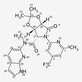 Cc1cc(C(F)(F)F)cc(N2C(=O)[C@H]3OC(C)(C)O[C@H]3[C@H]2C(=O)N(C)c2ccc3cc[nH]c3n2)n1